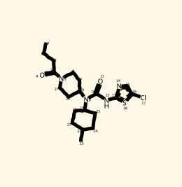 CCCC(=O)N1CCC(N(C(=O)Nc2ncc(Cl)s2)C2CCC(C)CC2)CC1